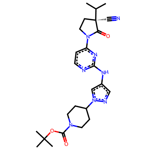 CC(C)[C@]1(C#N)CCN(c2ccnc(Nc3cnn(C4CCN(C(=O)OC(C)(C)C)CC4)c3)n2)C1=O